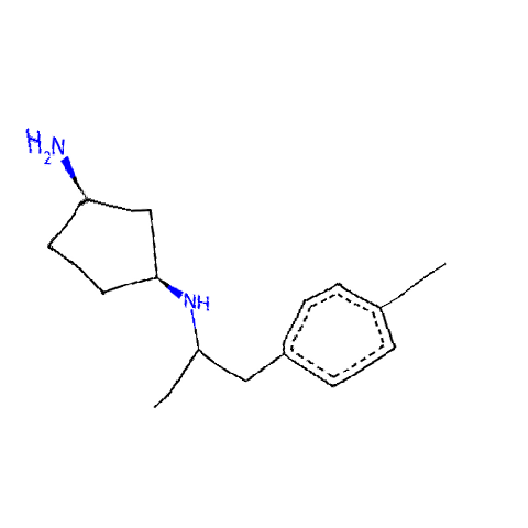 Cc1ccc(CC(C)N[C@H]2CC[C@@H](N)C2)cc1